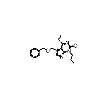 CCCn1c(=O)nc(SC)c2c1ncn2COCc1ccccc1